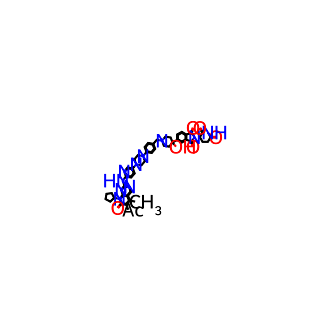 CC(=O)c1c(C)c2cnc(Nc3ccc(N4CCN(c5ccc(CN6CCC(O)(c7ccc8c(c7)C(=O)N(C7CCC(=O)NC7=O)C8=O)CC6)cc5)CC4)cn3)nc2n(C2CCCC2)c1=O